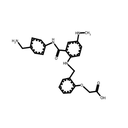 CNc1ccc(NCc2ccccc2OCC(=O)O)c(C(=O)Nc2ccc(CN)cc2)c1